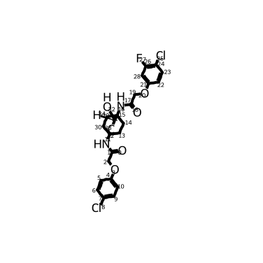 O=C(COc1ccc(Cl)cc1)NC12CCC(NC(=O)COc3ccc(Cl)c(F)c3)(CC1)[C@@H](O)C2